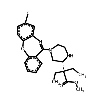 CCC(CC)(C(=O)OC)[C@@H]1CN(C2=Nc3cc(Cl)ccc3Oc3ccccc32)CCN1